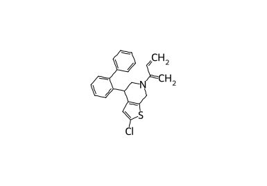 C=CC(=C)N1Cc2sc(Cl)cc2C(c2ccccc2-c2ccccc2)C1